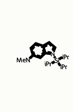 CNc1ccc2ccn([Si](C(C)C)(C(C)C)C(C)C)c2c1